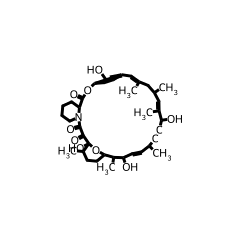 C/C1=C\C2=CC(O)C(C=C2)OC(=O)C2CCCCN2C(=O)C(=O)C2(O)OC(CCC2C)C(C)C(O)/C=C/C(C)CCC(O)/C(C)=C/C(C)C1